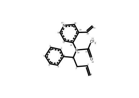 C=CCC(c1ccccc1)N(C(=O)C(F)(F)F)c1ccncc1C=C